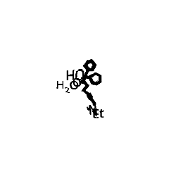 CCN(C)CC#CCCC(=O)C(O)(c1ccccc1)C1CCCCC1.O